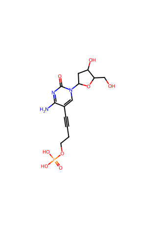 Nc1nc(=O)n(C2CC(O)C(CO)O2)cc1C#CCCOP(=O)(O)O